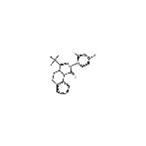 CC(C)(C)C(=O)N1CCc2ccccc2C1C(=O)Nc1ccc(F)cc1F